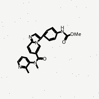 COC(=O)Nc1ccc(-c2cnc3ccc(C(=O)N(C)c4cccnc4C)cn23)cc1